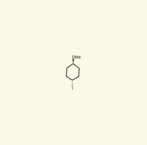 CO[C@H]1CC[C@H](I)CC1